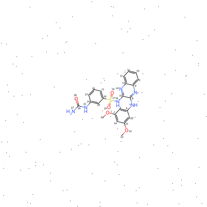 COc1cc(Nc2nc3ccccc3nc2NS(=O)(=O)c2cccc(NC(N)=O)c2)cc(OC)c1